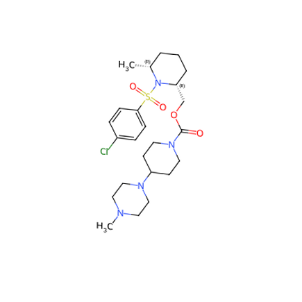 C[C@@H]1CCC[C@H](COC(=O)N2CCC(N3CCN(C)CC3)CC2)N1S(=O)(=O)c1ccc(Cl)cc1